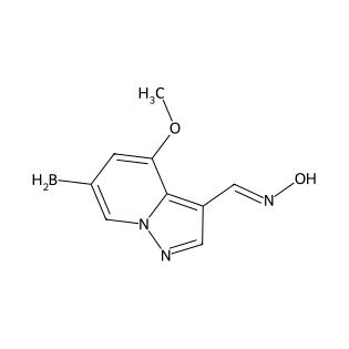 Bc1cc(OC)c2c(/C=N/O)cnn2c1